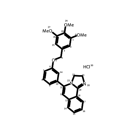 COc1cc(COc2cccc(C3=Cc4ccccc4C4=NCCN34)c2)cc(OC)c1OC.Cl